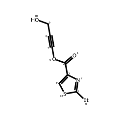 CCc1nc(C(=O)OC#CCO)cs1